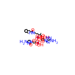 Cc1ccccc1CCC(=O)NCCCCC(C)C(=O)O[C@H]1[C@@H](O)[C@H](n2cnc3c(N)ncnc32)O[C@@H]1COP(=O)(O)O[C@H]1C[C@H](n2ccc(N)nc2=O)O[C@@H]1COP(=O)(O)O